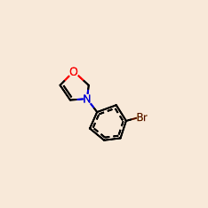 Brc1cccc(N2C=COC2)c1